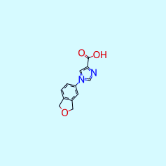 O=C(O)c1cn(-c2ccc3c(c2)COC3)cn1